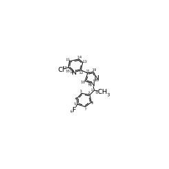 CC(c1ccc(F)cc1)n1cc(-c2cccc(Cl)n2)cn1